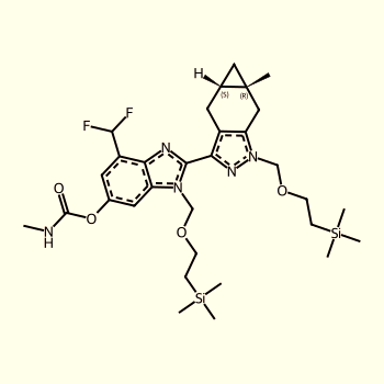 CNC(=O)Oc1cc(C(F)F)c2nc(-c3nn(COCC[Si](C)(C)C)c4c3C[C@@H]3C[C@]3(C)C4)n(COCC[Si](C)(C)C)c2c1